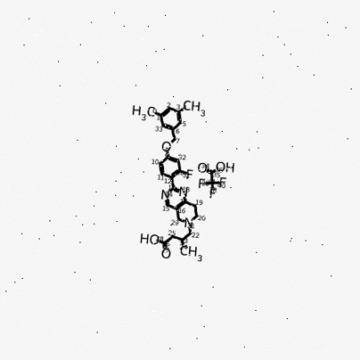 Cc1cc(C)cc(COc2ccc(-c3ncc4c(n3)CCN(CC(C)CC(=O)O)C4)c(F)c2)c1.O=C(O)C(F)(F)F